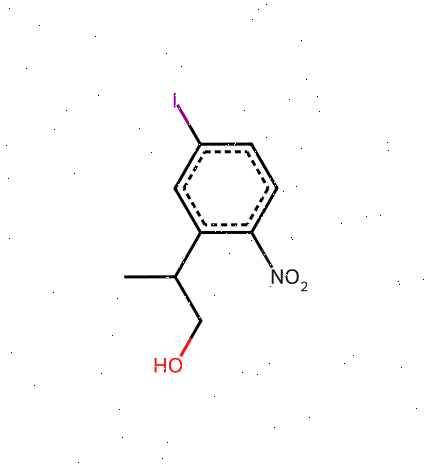 CC(CO)c1cc(I)ccc1[N+](=O)[O-]